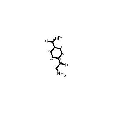 CCCC(I)C1CCC(C(I)CN)CC1